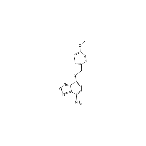 COc1ccc(CSc2ccc(N)c3nonc23)cc1